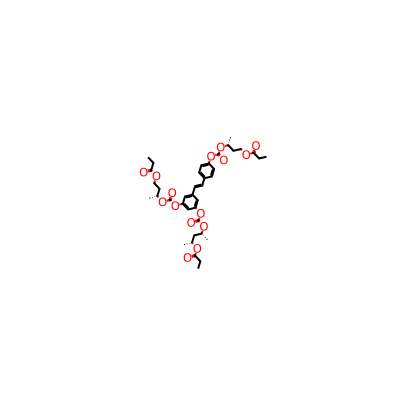 CCC(=O)OCC[C@@H](C)OC(=O)Oc1ccc(/C=C/c2cc(OC(=O)O[C@H](C)CCOC(=O)CC)cc(OC(=O)O[C@H](C)C[C@@H](C)OC(=O)CC)c2)cc1